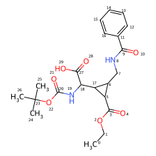 CCOC(=O)C1C(CNC(=O)c2ccccc2)C1C(NC(=O)OC(C)(C)C)C(=O)O